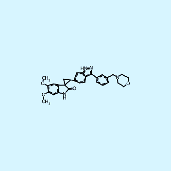 COc1cc2c(cc1OC)C1(C[C@H]1c1ccc3c(-c4cccc(CN5CCOCC5)c4)n[nH]c3c1)C(=O)N2